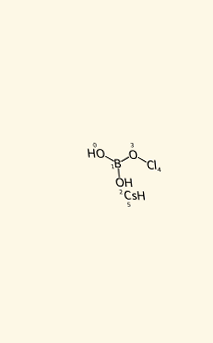 OB(O)OCl.[CsH]